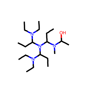 CCC(N(CC)CC)N(C(CC)N(CC)CC)C(CC)N(C)C(C)O